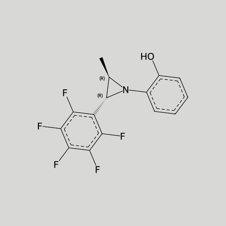 C[C@@H]1[C@@H](c2c(F)c(F)c(F)c(F)c2F)N1c1ccccc1O